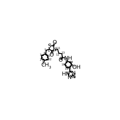 Cc1ccc(CC2SC(=O)N(CCCC(=O)Nc3ccc(-c4nnn[nH]4)c(O)c3)C2=O)cc1